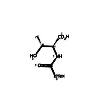 CCCCCCC(=O)N[C@@H](C(=O)O)[C@@H](C)O